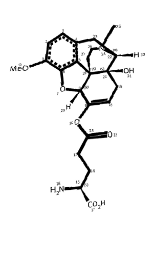 COc1ccc2c3c1O[C@H]1C(OC(=O)CC[C@H](N)C(=O)O)=CC[C@@]4(O)[C@@H](C2)N(C)CC[C@]314